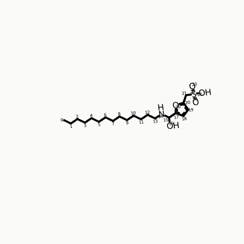 CCCCCCCCCCCCCCNC(O)c1ccc(CS(=O)(=O)O)o1